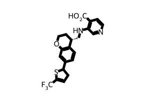 O=C(O)c1ccncc1NC[C@H]1CCOc2cc(C3CC=C(C(F)(F)F)S3)ccc21